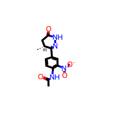 CC(=O)Nc1ccc(C2=NNC(=O)C[C@H]2C)cc1[N+](=O)[O-]